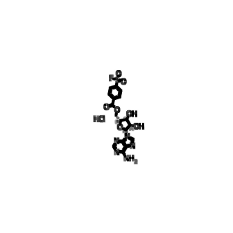 Cl.Nc1ncnc2c1ncn2[C@@H]1O[C@H](COC(=O)c2ccc(S(=O)(=O)F)cc2)[C@@H](O)[C@H]1O